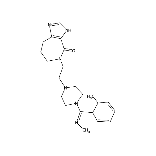 C/N=C(\C1C=CC=CC1C)N1CCN(CCN2CCCc3nc[nH]c3C2=O)CC1